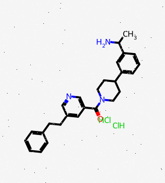 CC(N)c1cccc(C2CCN(C(=O)c3cncc(CCc4ccccc4)c3)CC2)c1.Cl.Cl